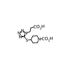 O=C(O)CCn1nnnc1SC1CCN(C(=O)O)CC1